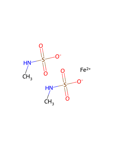 CNS(=O)(=O)[O-].CNS(=O)(=O)[O-].[Fe+2]